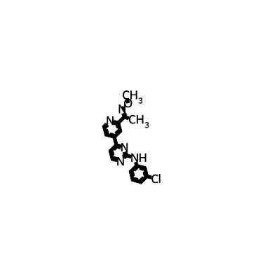 CON=C(C)c1cc(-c2ccnc(Nc3cccc(Cl)c3)n2)ccn1